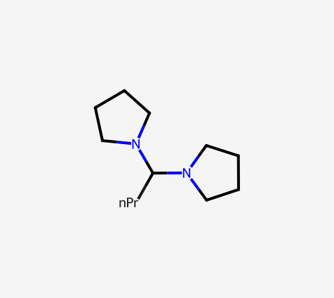 CCCC(N1CCCC1)N1CCCC1